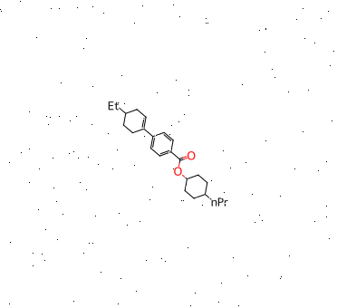 CCCC1CCC(OC(=O)c2ccc(C3=CCC(CC)CC3)cc2)CC1